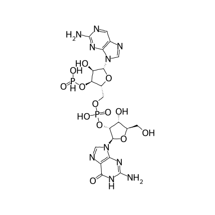 Nc1ncc2ncn([C@@H]3O[C@H](COP(=O)(O)O[C@@H]4[C@H](O)[C@@H](CO)O[C@H]4n4cnc5c(=O)[nH]c(N)nc54)[C@@H](O[PH](=O)O)[C@H]3O)c2n1